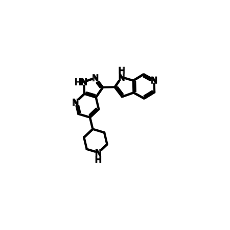 c1cc2cc(-c3n[nH]c4ncc(C5CCNCC5)cc34)[nH]c2cn1